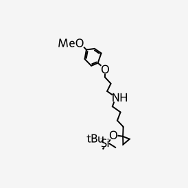 COc1ccc(OCCCNCCCCC2(O[Si](C)(C)C(C)(C)C)CC2)cc1